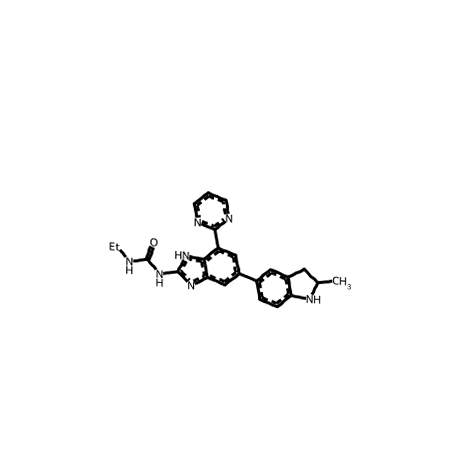 CCNC(=O)Nc1nc2cc(-c3ccc4c(c3)CC(C)N4)cc(-c3ncccn3)c2[nH]1